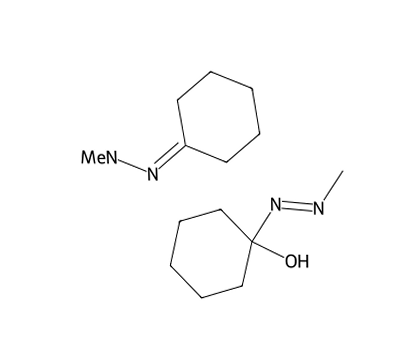 CN=NC1(O)CCCCC1.CNN=C1CCCCC1